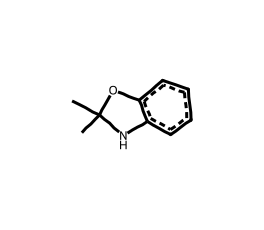 CC1(C)Nc2ccccc2O1